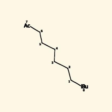 CCC(C)CCCCCCC(C)=O